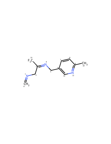 C=NC/C(=N\Cc1ccc(C)nc1)C(F)(F)F